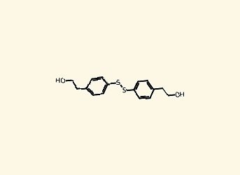 OCCc1ccc(SSc2ccc(CCO)cc2)cc1